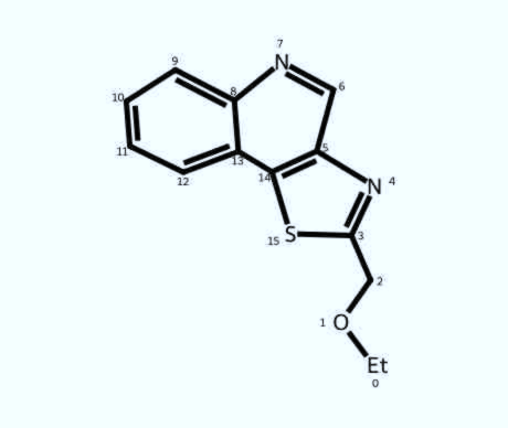 CCOCc1nc2cnc3ccccc3c2s1